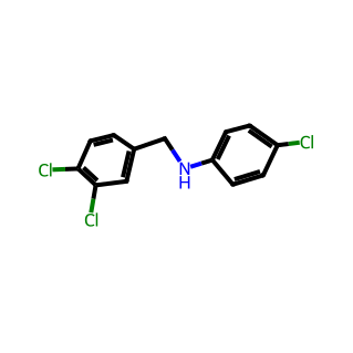 Clc1ccc(NCc2ccc(Cl)c(Cl)c2)cc1